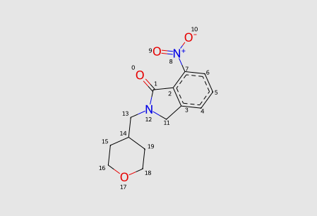 O=C1c2c(cccc2[N+](=O)[O-])CN1CC1CCOCC1